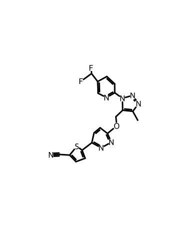 Cc1nnn(-c2ccc(C(F)F)cn2)c1COc1ccc(-c2ccc(C#N)s2)nn1